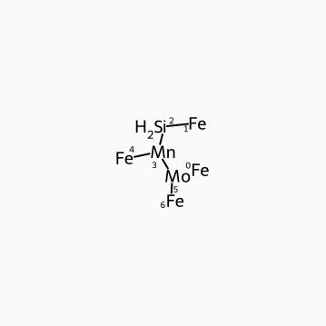 [Fe].[Fe][SiH2][Mn]([Fe])[Mo][Fe]